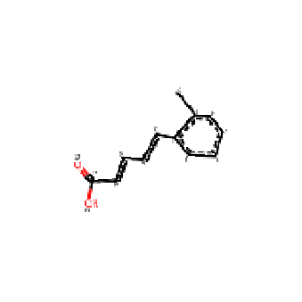 Cc1ccccc1C=CC=CC(=O)O